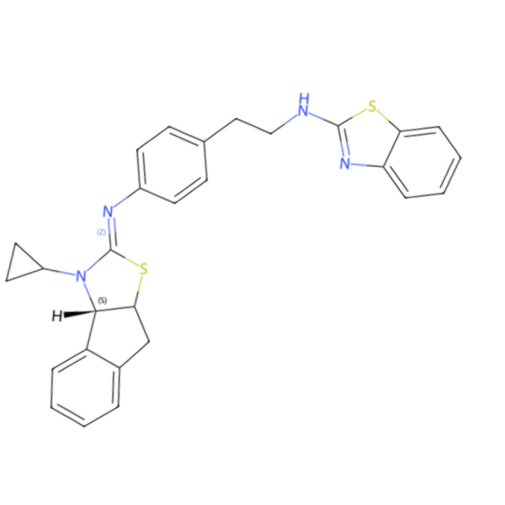 c1ccc2c(c1)CC1S/C(=N\c3ccc(CCNc4nc5ccccc5s4)cc3)N(C3CC3)[C@@H]21